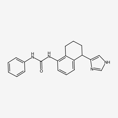 O=C(Nc1ccccc1)Nc1cccc2c1CCCC2c1c[nH]cn1